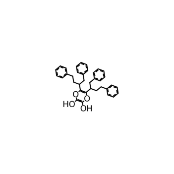 OC1=C(O)OC(C(CCc2ccccc2)Cc2ccccc2)=C(C(CCc2ccccc2)Cc2ccccc2)O1